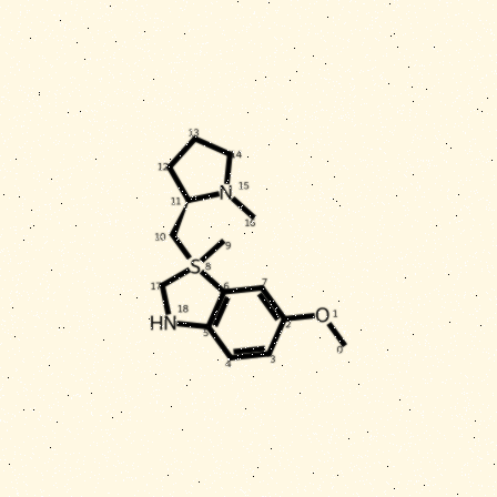 COc1ccc2c(c1)S(C)(C[C@H]1CCCN1C)CN2